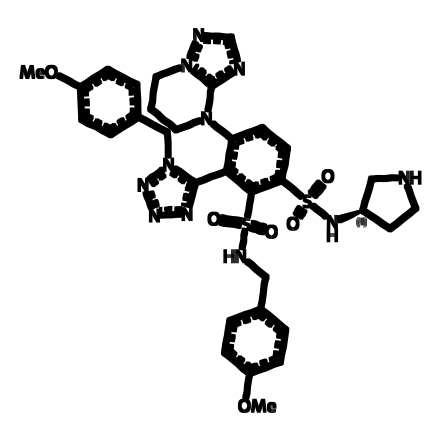 COc1ccc(CNS(=O)(=O)c2c(S(=O)(=O)N[C@@H]3CCNC3)ccc(N3CCCn4ncnc43)c2-c2nnnn2Cc2ccc(OC)cc2)cc1